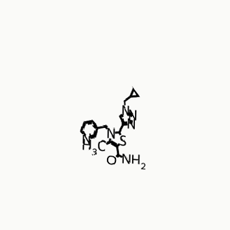 CC1=C(C(N)=O)SC(c2cn(CC3CC3)nn2)N1Cc1cccnc1